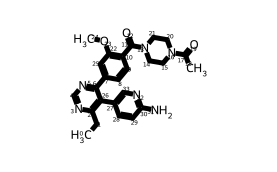 CCc1ncnc(-c2ccc(C(=O)N3CCN(C(C)=O)CC3)c(OC)c2)c1-c1ccc(N)nc1